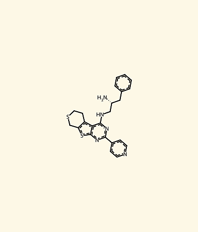 N[C@@H](CNc1nc(-c2ccncc2)nc2sc3c(c12)CCSC3)Cc1ccccc1